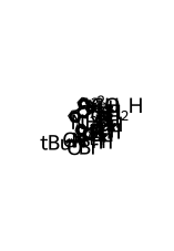 O=C(O)n1cc2c3c(cccc31)C1=CCCNC1C2.[2H]C([2H])([2H])N1C[C@H](C(=O)N(C([2H])([2H])C([2H])([2H])[2H])C([2H])([2H])C([2H])([2H])[2H])C=C2c3cccc4c3c(c(Br)n4C(=O)OC(C)(C)C)C[C@H]21